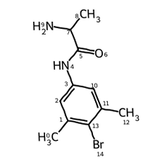 Cc1cc(NC(=O)C(C)N)cc(C)c1Br